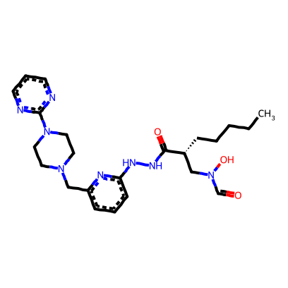 CCCCC[C@H](CN(O)C=O)C(=O)NNc1cccc(CN2CCN(c3ncccn3)CC2)n1